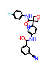 N#Cc1cccc(C(O)Nc2ccc(C3(C(=O)Nc4ccc(F)cc4)COC3)nc2)c1